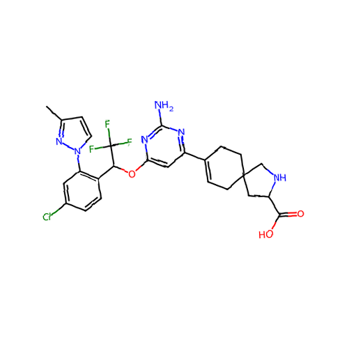 Cc1ccn(-c2cc(Cl)ccc2C(Oc2cc(C3=CCC4(CC3)CNC(C(=O)O)C4)nc(N)n2)C(F)(F)F)n1